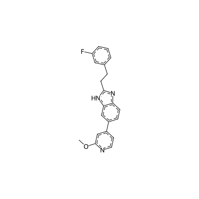 COc1cc(-c2ccc3nc(CCc4cccc(F)c4)[nH]c3c2)ccn1